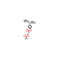 C=C(C)C(=O)OCCC(=O)Oc1ccc(C(CC(C)(C)C)C(C)(C)C)cc1